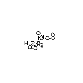 CC1(C)c2ccccc2-c2cccc(-c3ccc(-c4cc(-c5ccc(-c6cccc7ccccc67)cc5)nc(-c5ccccc5)n4)c4ccccc34)c21